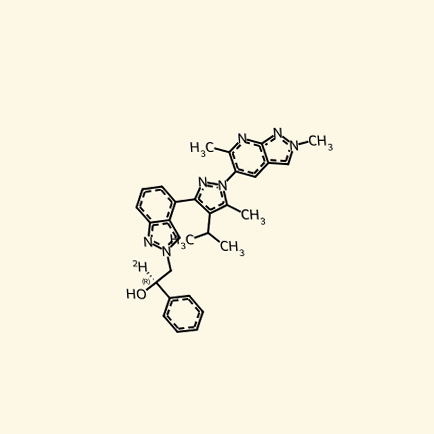 [2H][C@](O)(Cn1cc2c(-c3nn(-c4cc5cn(C)nc5nc4C)c(C)c3C(C)C)cccc2n1)c1ccccc1